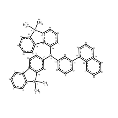 C[Si]1(C)c2ccccc2-c2ccc(N(c3cccc(-c4cccc5ccccc45)c3)c3cccc4c3-c3ccccc3[Si]4(C)C)cc21